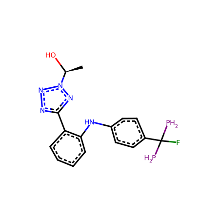 C[C@H](O)n1nnc(-c2ccccc2Nc2ccc(C(F)(P)P)cc2)n1